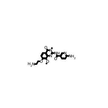 COc1c(OCCN)ccc2c(=O)n(C)c(NC(=O)c3ccc(N)nc3)nc12